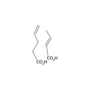 C=CCCC(=O)O.CC=CC(=O)O